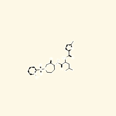 Cc1ccc(C(=O)NC(CC(C)C)C(=O)N[C@H]2CCCN(S(=O)(=O)c3cccc[n+]3[O-])CC2=O)s1